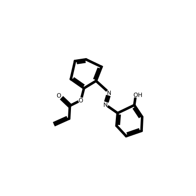 C=CC(=O)Oc1ccccc1N=Nc1ccccc1O